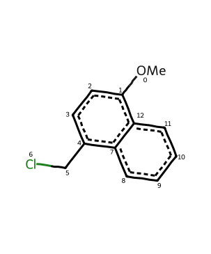 COc1ccc(CCl)c2ccccc12